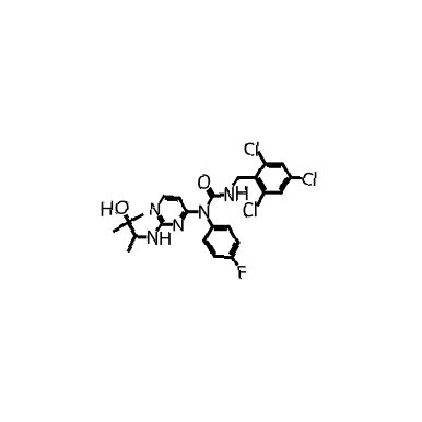 CC(Nc1nccc(N(C(=O)NCc2c(Cl)cc(Cl)cc2Cl)c2ccc(F)cc2)n1)C(C)(C)O